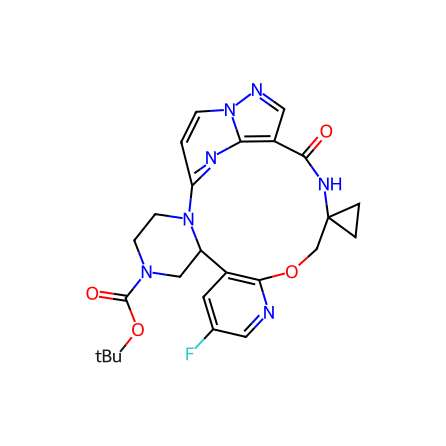 CC(C)(C)OC(=O)N1CCN2c3ccn4ncc(c4n3)C(=O)NC3(CC3)COc3ncc(F)cc3C2C1